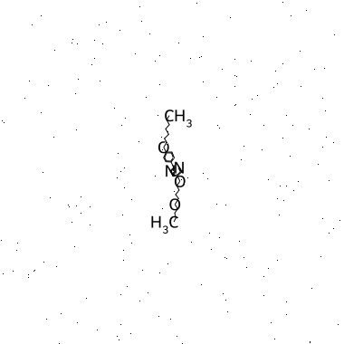 CCCCCCCOc1ccc(-c2ncc(OCCCCOCCCC)cn2)cc1